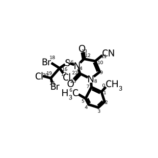 Cc1cccc(C)c1-n1cc(C#N)c(=O)n(SC(Cl)(Br)C(Cl)Br)c1=O